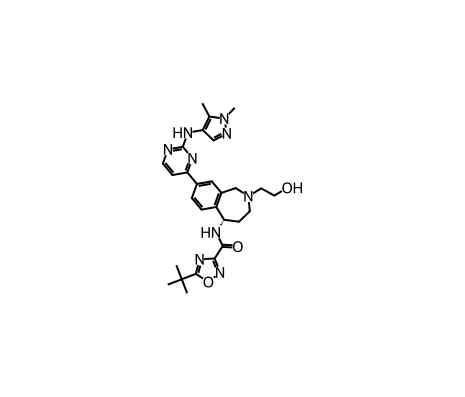 Cc1c(Nc2nccc(-c3ccc4c(c3)CN(CCO)CC[C@@H]4NC(=O)c3noc(C(C)(C)C)n3)n2)cnn1C